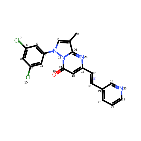 Cc1cn(-c2cc(Cl)cc(Cl)c2)n2c(=O)cc(/C=C/c3cccnc3)nc12